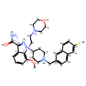 COc1cccc2c1[N+](CCN1CCOCC1)(C1CCN(Cc3ccc4cc(F)ccc4c3)CC1)N=C2C(N)=O